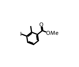 COC(=O)c1cccc(I)c1C